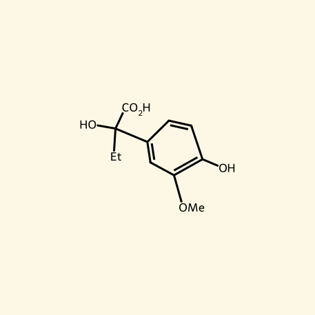 CCC(O)(C(=O)O)c1ccc(O)c(OC)c1